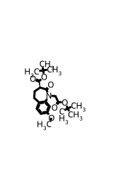 COc1ccc2c(c1)N(CC(=O)OC(C)(C)C)C(=O)[C@H](C(=O)OC(C)(C)C)CC2